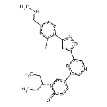 CCC(CC)n1cc(-c2cncc(-c3cc(-c4ccc(CNC)cc4F)no3)n2)ccc1=O